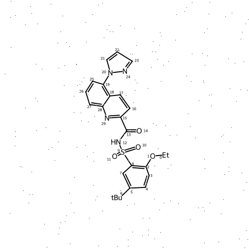 CCOc1ccc(C(C)(C)C)cc1S(=O)(=O)NC(=O)c1ccc2c(-n3cccn3)cccc2n1